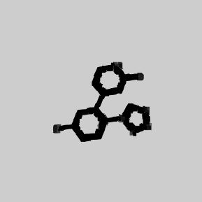 O=c1cc(-c2cc(Cl)ccc2-n2cnnn2)cc[nH]1